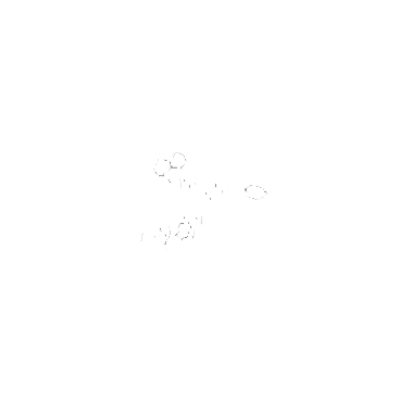 O=C(NO)c1cnc(N[C@H]2C[C@@H](C(=O)Nc3cccc4cccnc34)N(C(=O)OCc3ccccc3)C2)nc1